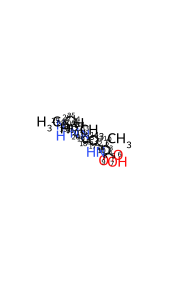 CCc1cc(C(=O)O)c(=O)[nH]c1-c1ccc2c(c1)cc(CN1C[C@H]3CCC[C@@H](NC)[C@H]3C1)n2C